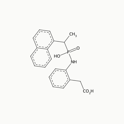 CC(c1cccc2ccccc12)P(=O)(O)Nc1ccccc1CC(=O)O